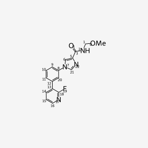 COCNC(=O)c1cn(-c2cccc(-c3cccnc3F)c2)cn1